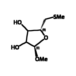 CO[C@@H]1O[C@@H](CSC)C(O)C1O